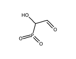 O=CC(O)P(=O)=O